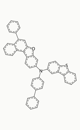 c1ccc(-c2ccc(N(c3ccc4c(c3)oc3cc(-c5ccccc5)c5ccccc5c34)c3ccc4sc5ccccc5c4c3)cc2)cc1